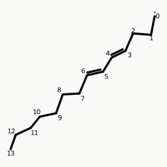 [CH2]CC/C=C/C=C/CCCCCCC